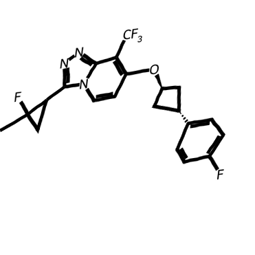 Fc1ccc([C@H]2C[C@H](Oc3ccn4c(C5CC5(F)F)nnc4c3C(F)(F)F)C2)cc1